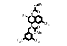 CC[C@@H]1C[C@H](N(Cc2cc(C(F)(F)F)cc(C(F)(F)F)c2)C(=O)OC)c2cc(C(F)(F)F)ccc2N1OC(=O)OC(C)C